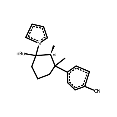 CCCCC1(n2cccc2)CCCC(C)(c2ccc(C#N)cc2)[C@@H]1C